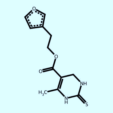 CC1=C(C(=O)OCCc2ccoc2)CNC(=S)N1